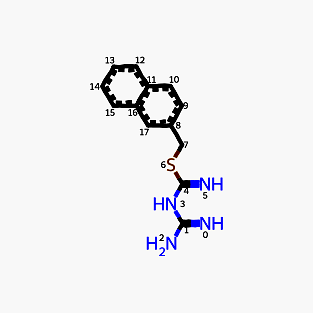 N=C(N)NC(=N)SCc1ccc2ccccc2c1